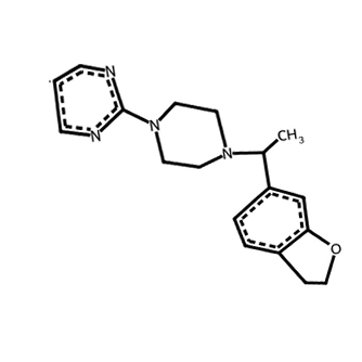 CC(c1ccc2c(c1)OCC2)N1CCN(c2nc[c]cn2)CC1